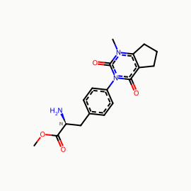 COC(=O)[C@@H](N)Cc1ccc(-n2c(=O)c3c(n(C)c2=O)CCC3)cc1